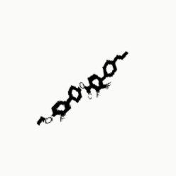 CCCC1CCC(c2ccc(C(=O)OC3CCC(c4ccc(OCC)c(F)c4)CC3)c(F)c2F)CC1